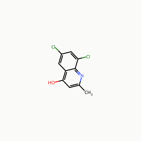 Cc1cc(O)c2cc(Cl)cc(Cl)c2n1